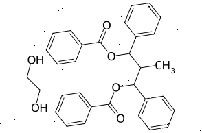 CC(C(OC(=O)c1ccccc1)c1ccccc1)C(OC(=O)c1ccccc1)c1ccccc1.OCCO